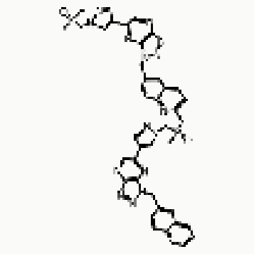 CP(C)(=O)Cn1cc(-c2cnc3nnn(Cc4ccc5nc(CP(C)(=O)Cn6cc(-c7cnc8nnn(Cc9ccc%10ncccc%10c9)c8n7)cn6)ccc5c4)c3n2)cn1